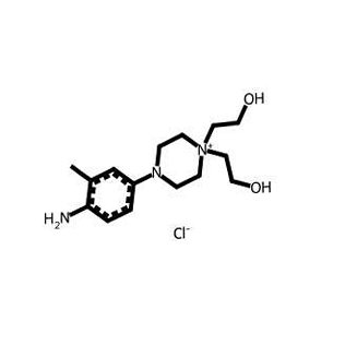 Cc1cc(N2CC[N+](CCO)(CCO)CC2)ccc1N.[Cl-]